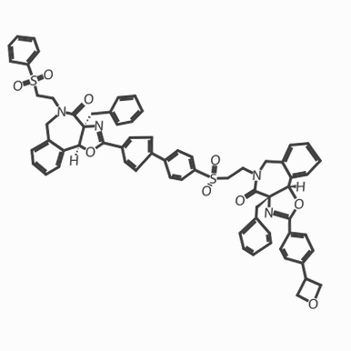 O=C1N(CCS(=O)(=O)c2ccccc2)Cc2ccccc2[C@@H]2OC(c3ccc(-c4ccc(S(=O)(=O)CCN5Cc6ccccc6[C@@H]6OC(c7ccc(C8COC8)cc7)=N[C@]6(Cc6ccccc6)C5=O)cc4)cc3)=N[C@]12Cc1ccccc1